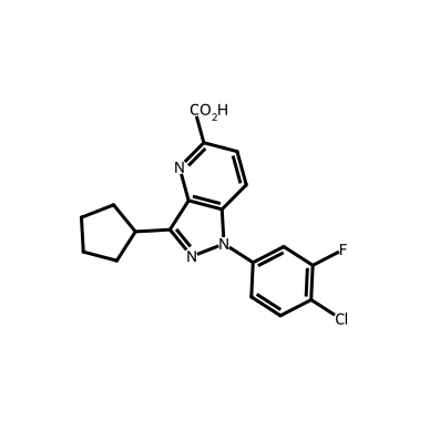 O=C(O)c1ccc2c(n1)c(C1CCCC1)nn2-c1ccc(Cl)c(F)c1